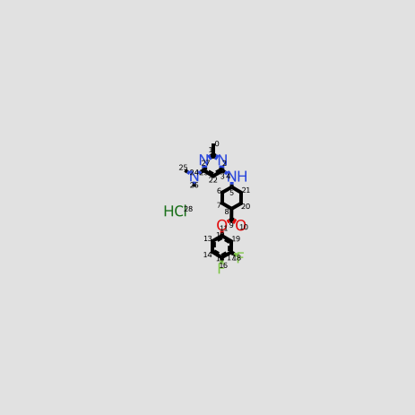 Cc1nc(NC2CCC(C(=O)Oc3ccc(F)c(F)c3)CC2)cc(N(C)C)n1.Cl